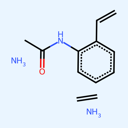 C=C.C=Cc1ccccc1NC(C)=O.N.N